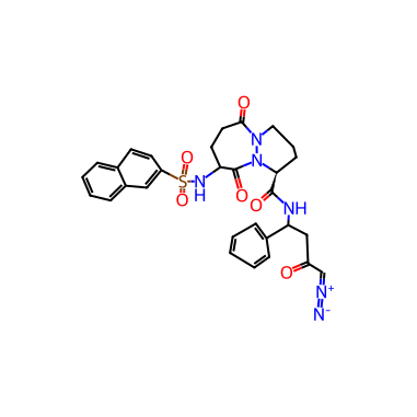 [N-]=[N+]=CC(=O)CC(NC(=O)[C@@H]1CCCN2C(=O)CCC(NS(=O)(=O)c3ccc4ccccc4c3)C(=O)N12)c1ccccc1